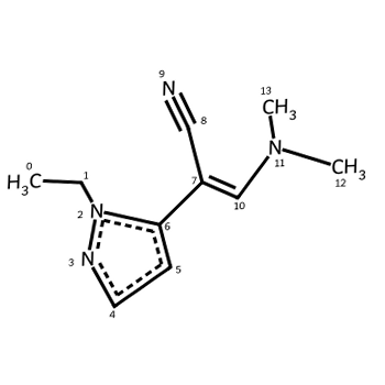 CCn1nccc1C(C#N)=CN(C)C